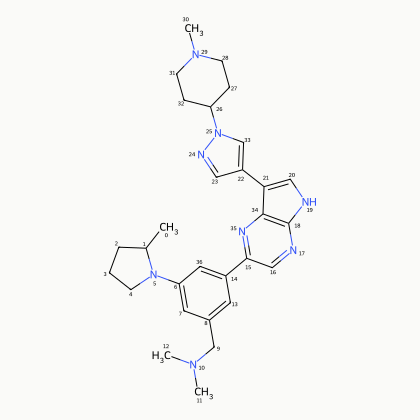 CC1CCCN1c1cc(CN(C)C)cc(-c2cnc3[nH]cc(-c4cnn(C5CCN(C)CC5)c4)c3n2)c1